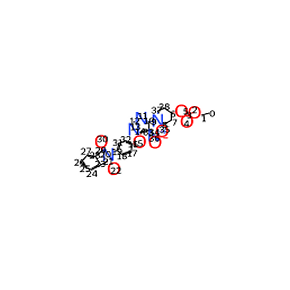 CCOC(=O)OC1CCN(c2ncnc(Oc3ccc(N4C(=O)c5ccccc5C4=O)cc3)c2[N+](=O)[O-])CC1